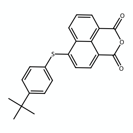 CC(C)(C)c1ccc(Sc2ccc3c4c(cccc24)C(=O)OC3=O)cc1